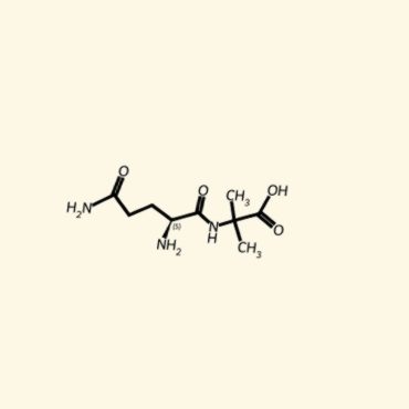 CC(C)(NC(=O)[C@@H](N)CCC(N)=O)C(=O)O